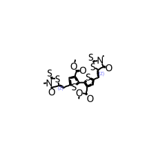 COC(=O)c1cc(/C=C2\SC(=S)N(C)C2=O)sc1-c1sc(/C=C2\SC(=S)N(C)C2=O)cc1C(=O)OC